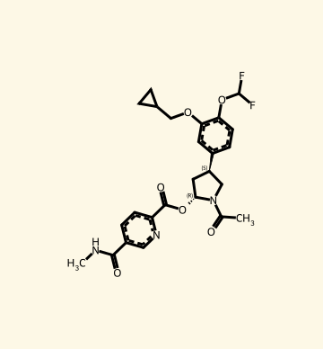 CNC(=O)c1ccc(C(=O)O[C@@H]2C[C@@H](c3ccc(OC(F)F)c(OCC4CC4)c3)CN2C(C)=O)nc1